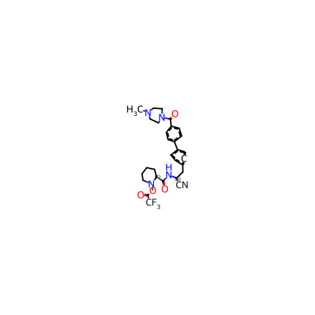 CN1CCN(C(=O)c2ccc(-c3ccc(C[C@@H](C#N)NC(=O)[C@@H]4CCCCN4OC(=O)C(F)(F)F)cc3)cc2)CC1